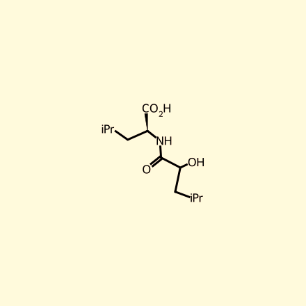 CC(C)CC(O)C(=O)N[C@@H](CC(C)C)C(=O)O